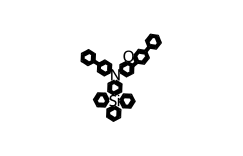 c1ccc(-c2ccc(N(c3ccc([Si](c4ccccc4)(c4ccccc4)c4ccccc4)cc3)c3ccc4c(c3)oc3cc(-c5ccccc5)ccc34)cc2)cc1